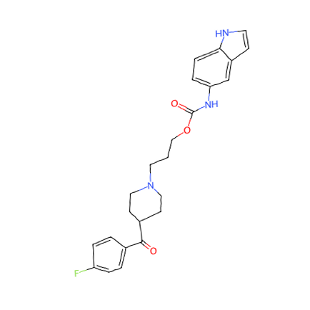 O=C(Nc1ccc2[nH]ccc2c1)OCCCN1CCC(C(=O)c2ccc(F)cc2)CC1